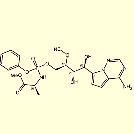 COC(=O)[C@H](C)NP(=O)(OC[C@@H](OC#N)[C@@H](O)[C@@H](O)c1ccc2c(N)ncnn12)Oc1ccccc1